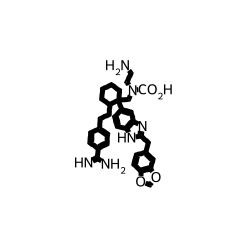 N=C(N)c1ccc(CCC2CCCCC2(CN(CCN)C(=O)O)c2ccc3[nH]c(Cc4ccc5c(c4)OCO5)nc3c2)cc1